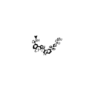 Cc1ccc(C(=O)NC2CC2)cc1-c1cnn(-c2cnc3ccc(S(=O)(=O)C4CN(C(=O)OC(C)(C)C)C4)cn23)c1